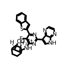 CCOC(=O)[C@@H]1C2CCC(CC2)[C@H]1Nc1nc(-c2c[nH]c3nccnc23)nc(-c2cc3ccccc3s2)c1F